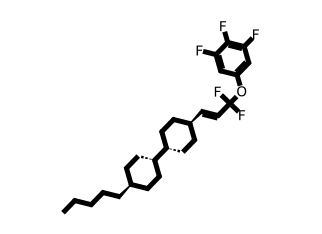 CCCCC[C@H]1CC[C@H]([C@H]2CC[C@H](C=CC(F)(F)Oc3cc(F)c(F)c(F)c3)CC2)CC1